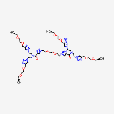 C#CCOCCOC/C(=C/NCCN(CCn1cc(COCCOCC#C)nn1)C(=O)c1cn(CCOCCOCCn2cc(C(=O)N(CCn3cc(COCCOCC#C)nn3)CCn3cc(COCCOCC#C)nn3)nn2)nn1)N=N